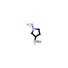 COC1C[CH]N(N)C1